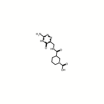 Nc1nnc(CNC(=O)C2CCCN(C(=O)O)C2)c(=O)[nH]1